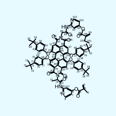 C=C(C)C(=O)Oc1ccnc(NC(=O)C(C)N2C(=O)c3cc(Oc4ccc(C(C)(C)C)cc4)c4c5c(Oc6ccc(C(C)(C)C)cc6)cc6c7c(cc(Oc8ccc(C(C)(C)C)cc8)c(c8c(Oc9ccc(C(C)(C)C)cc9)cc(c3c48)C2=O)c75)C(=O)N(CC(=O)Nc2cc(OC(=O)C(=C)CC)ccn2)C6=O)c1